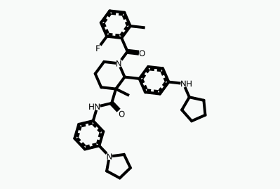 Cc1cccc(F)c1C(=O)N1CCCC(C)(C(=O)Nc2cccc(N3CCCC3)c2)C1c1ccc(NC2CCCC2)cc1